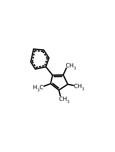 CC1=C(C)C(C)C(C)=C1c1ccccc1